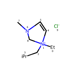 CC[N+]1(CC(C)C)C=CN(C)C1.[Cl-]